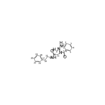 Nc1ccccc1C(=O)N(N)CC(=O)NCCc1ccccc1